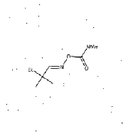 CCC(C)(C)/C=N/OC(=O)NC